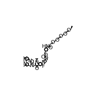 C#CCOCCOCCOCCOCCOCCC(=O)Nc1ccc(COC(=O)N(C)[C@@H]2CCN(c3cc4c(cc3F)c(=O)c(CN(Cc3ccnc(C)c3)[C@H]3CCCN(c5ccc(C)nc5)C3)cn4C3CC3)C2)cc1